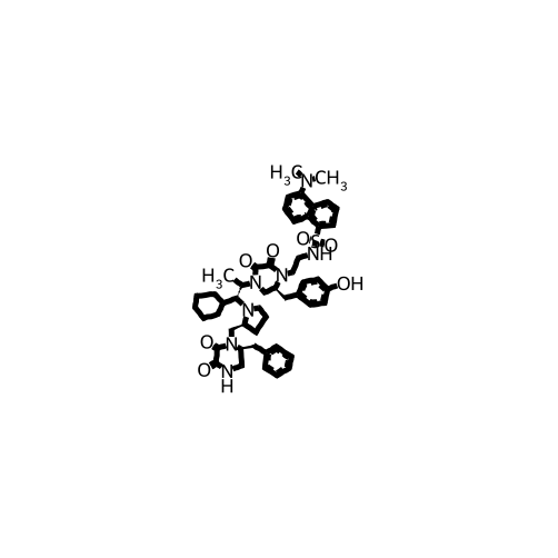 CC([C@@H](C1CCCCC1)N1CCC[C@H]1CN1C(=O)C(=O)NC[C@@H]1Cc1ccccc1)N1C[C@H](Cc2ccc(O)cc2)N(CCNS(=O)(=O)c2cccc3c(N(C)C)cccc23)C(=O)C1=O